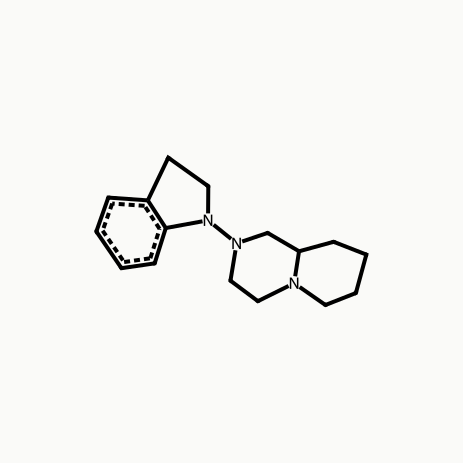 c1ccc2c(c1)CCN2N1CCN2CCCCC2C1